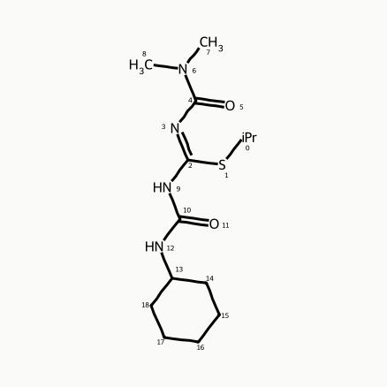 CC(C)SC(=NC(=O)N(C)C)NC(=O)NC1CCCCC1